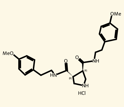 COc1ccc(CCNC(=O)[C@H]2CNC[C@@H]2C(=O)NCCc2ccc(OC)cc2)cc1.Cl